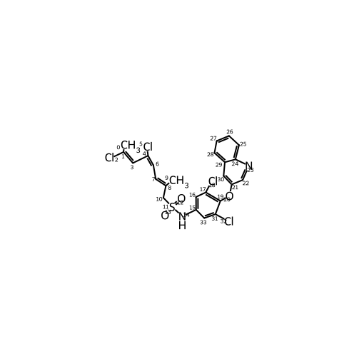 C\C(Cl)=C/C(Cl)=C\C=C(/C)CS(=O)(=O)Nc1cc(Cl)c(Oc2cnc3ccccc3c2)c(Cl)c1